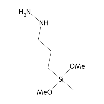 CO[Si](C)(CCCNN)OC